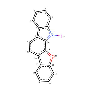 In1c2ccccc2c2ccc3c4ccccc4oc3c21